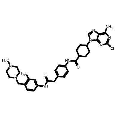 CN1CCN(Cc2ccc(NC(=O)Cc3ccc(NC(=O)C4CCC(n5cnc6c(N)nc(Cl)nc65)CC4)cc3)cc2C(F)(F)F)CC1